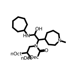 CCCCCCCCCCC(=O)N(CC(CCCCCCCC)CCCCCCCCCC)C(C1CCCN(C)CC1)C(O)NC1CCCCCC1